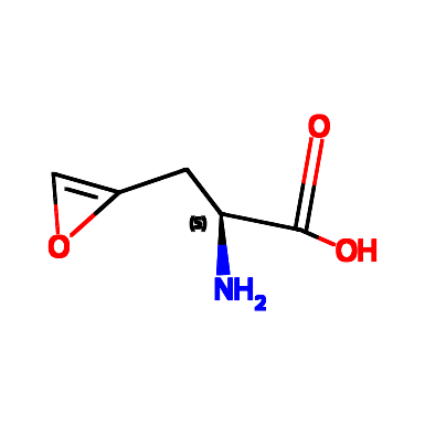 N[C@@H](CC1=CO1)C(=O)O